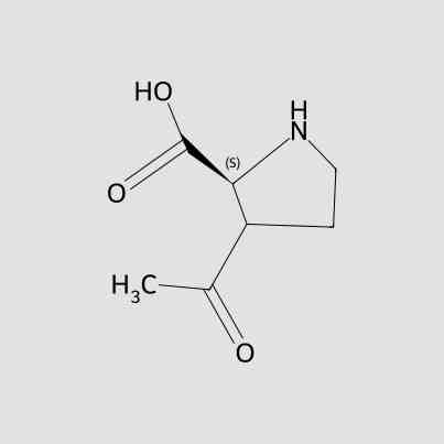 CC(=O)C1CCN[C@@H]1C(=O)O